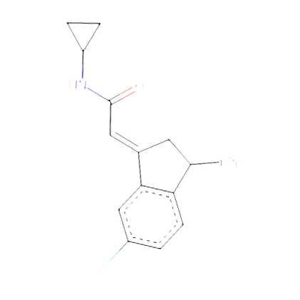 CCCC1CC(=CC(=O)NC2CC2)c2cc(F)ccc21